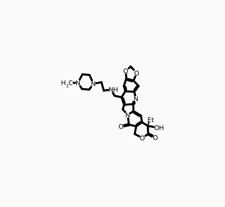 CC[C@@]1(O)C(=O)OCc2c1cc1n(c2=O)Cc2c-1nc1cc3c(cc1c2CNCCN1CCN(C)CC1)OCO3